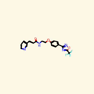 O=C(C=Cc1cccnc1)NCCOc1ccc(-c2noc(C(F)(F)F)n2)cc1